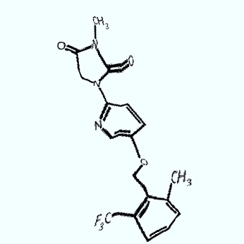 Cc1cccc(C(F)(F)F)c1COc1ccc(N2CC(=O)N(C)C2=O)nc1